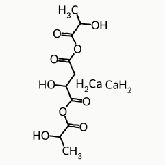 CC(O)C(=O)OC(=O)CC(O)C(=O)OC(=O)C(C)O.[CaH2].[CaH2]